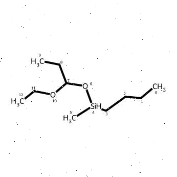 CCCC[SiH](C)OC(CC)OCC